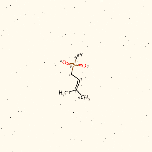 CC(C)=CCS(=O)(=O)C(C)C